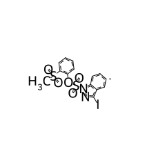 CS(=O)(=O)c1ccccc1OS(=O)(=O)n1nc(I)c2c[c]ccc21